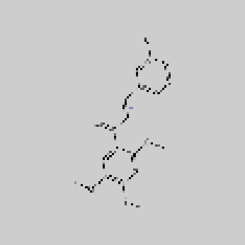 COc1cc(C(=O)/C=C/c2cccc(Cl)c2)c(OC)cc1SC